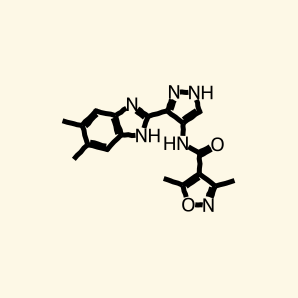 Cc1cc2nc(-c3n[nH]cc3NC(=O)c3c(C)noc3C)[nH]c2cc1C